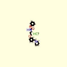 Cl.O=C(NCCCOc1cccc(CN2CCCCC2)c1)Oc1ccccc1